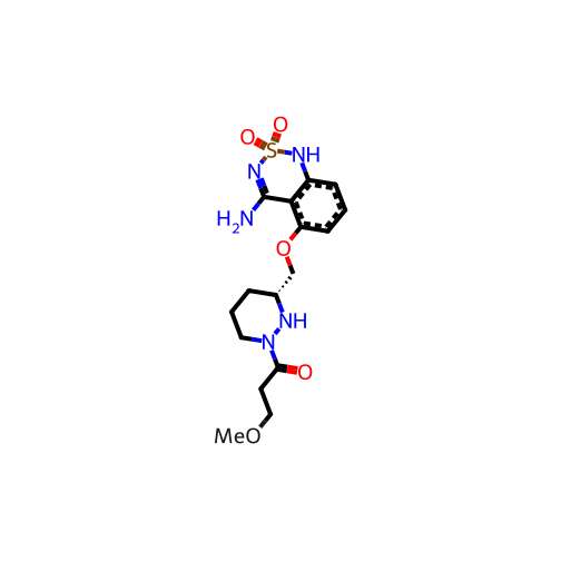 COCCC(=O)N1CCC[C@H](COc2cccc3c2C(N)=NS(=O)(=O)N3)N1